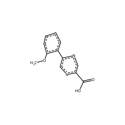 COc1ccccc1-c1cnc(C(=O)O)cn1